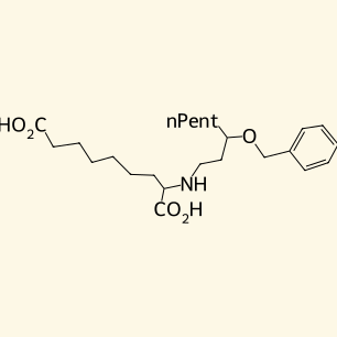 CCCCCC(CCNC(CCCCCCC(=O)O)C(=O)O)OCc1ccccc1